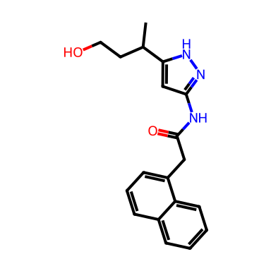 CC(CCO)c1cc(NC(=O)Cc2cccc3ccccc23)n[nH]1